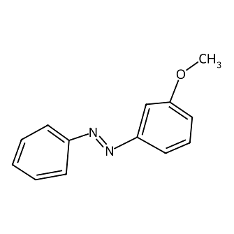 COc1cccc(N=Nc2ccccc2)c1